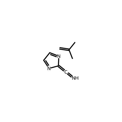 C=C(C)C.N=C=C1N=CC=N1